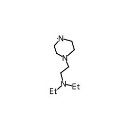 CCN(CC)CCN1CC[N]CC1